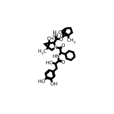 CC12CN(C(=O)C(NC(=O)C(O)Cc3ccc(O)c(O)c3)C3CCCCC3)C(C(=O)OC3CC4CCC3(C)C4(C)C)C1(C)C2